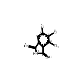 N=C1NC(=N)c2c1cc(Cl)c(Cl)c2Cl